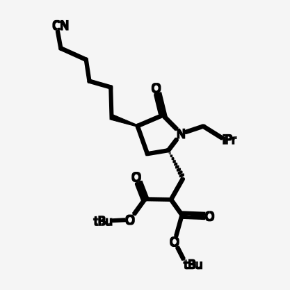 CC(C)CN1C(=O)[C@H](CCCCCC#N)C[C@H]1CC(C(=O)OC(C)(C)C)C(=O)OC(C)(C)C